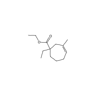 CCOC(=O)C1(CC)CCCC=C(C)C1